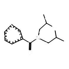 CC1CN(C(=O)c2ccccc2)CC(C)O1